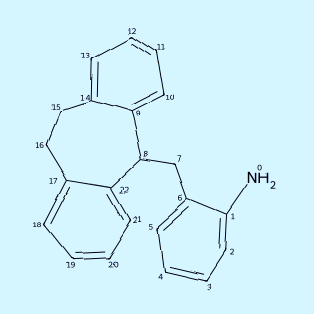 Nc1ccccc1CC1c2ccccc2CCc2ccccc21